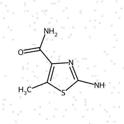 Cc1sc([NH])nc1C(N)=O